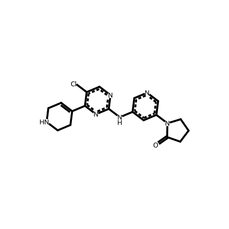 O=C1CCCN1c1cncc(Nc2ncc(Cl)c(C3=CCNCC3)n2)c1